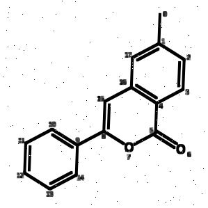 Cc1ccc2c(=O)oc(-c3ccccc3)cc2c1